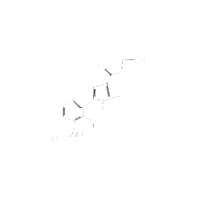 CCOC(=O)c1c(C)c(-c2cccc(NC)c2OC)n(C)c1C